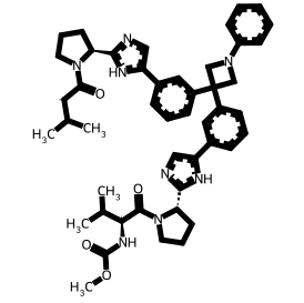 COC(=O)N[C@H](C(=O)N1CCC[C@H]1c1ncc(-c2cccc(C3(c4cccc(-c5cnc([C@@H]6CCCN6C(=O)[CH]C(C)C)[nH]5)c4)CN(c4ccccc4)C3)c2)[nH]1)C(C)C